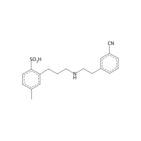 Cc1ccc(S(=O)(=O)O)c(CCCNCCc2cccc(C#N)c2)c1